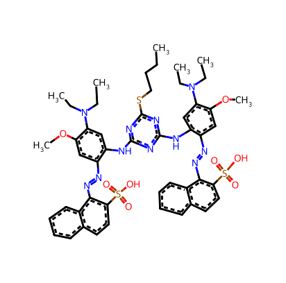 CCCCSc1nc(Nc2cc(N(CC)CC)c(OC)cc2/N=N/c2c(S(=O)(=O)O)ccc3ccccc23)nc(Nc2cc(N(CC)CC)c(OC)cc2/N=N/c2c(S(=O)(=O)O)ccc3ccccc23)n1